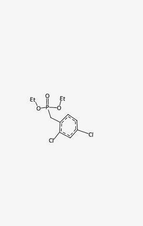 CCOP(=O)(Cc1ccc(Cl)cc1Cl)OCC